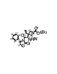 C=CC1(C(N=[N+]=[N-])C(=O)N2C(=O)OC[C@@H]2c2ccccc2)CN(C(=O)OC(C)(C)C)C1